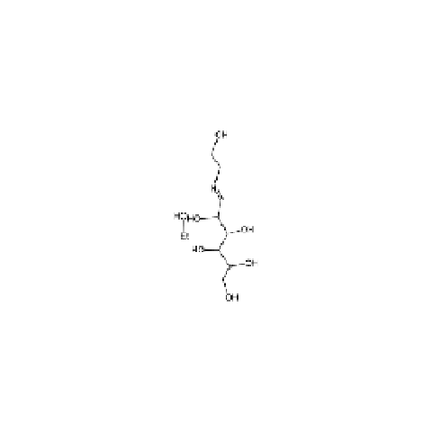 CCO.OCCN=CC(O)C(O)C(O)C(O)CO